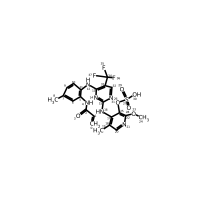 C=CC(=O)Nc1cc(C)ccc1Nc1nc(Nc2c(C)cnc(OC)c2OS(=O)(=O)O)ncc1C(F)(F)F